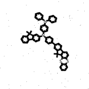 CC1(C)c2ccccc2-c2ccc(N(c3ccc(-c4ccc5c(c4)C(C)(C)c4c-5ccc5c4Sc4ccccc4S5)cc3)c3ccc(N(c4ccccc4)c4ccccc4)cc3)cc21